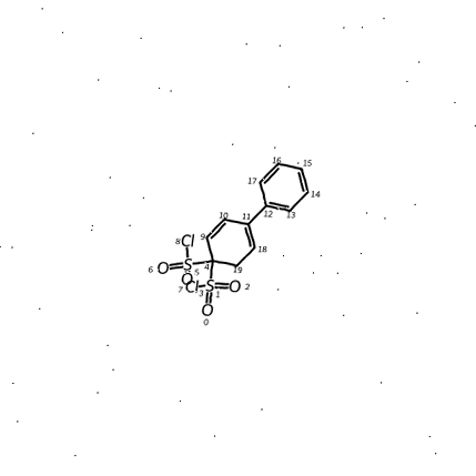 O=S(=O)(Cl)C1(S(=O)(=O)Cl)C=CC(c2ccccc2)=CC1